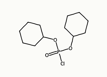 O=P(Cl)(OC1CCCCC1)OC1CCCCC1